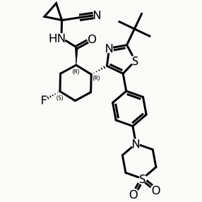 CC(C)(C)c1nc([C@@H]2CC[C@H](F)C[C@H]2C(=O)NC2(C#N)CC2)c(-c2ccc(N3CCS(=O)(=O)CC3)cc2)s1